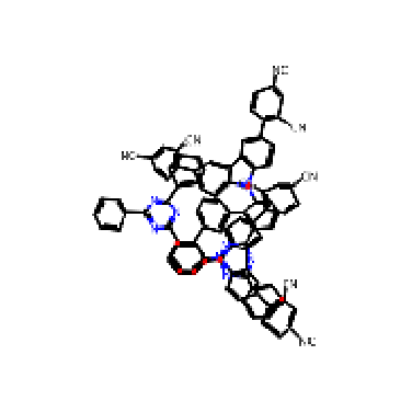 [C-]#[N+]c1ccc(-c2ccc3c(c2)c2cc(-c4ccc(C#N)cc4C#N)ccc2n3-c2cccc(-c3nc(-c4ccccc4)nc(-c4ccccc4)n3)c2-c2cccc(-c3c(-c4nc(-c5ccccc5)nc(-c5ccccc5)n4)cccc3-n3c4ccc(-c5ccc([N+]#[C-])cc5C#N)cc4c4cc(-c5ccc(C#N)cc5[N+]#[C-])ccc43)c2)c(C#N)c1